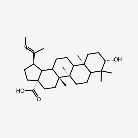 C/N=C(\C)[C@@H]1CC[C@]2(C(=O)O)CC[C@]3(C)C(CCC4[C@@]5(C)CC[C@H](O)C(C)(C)C5CC[C@]43C)C12